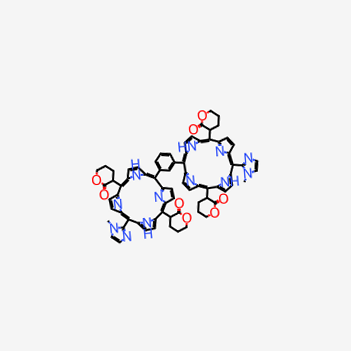 Cn1ccnc1-c1c2nc(c(C3CCCOC3=O)c3ccc([nH]3)c(-c3cccc(-c4c5nc(c(C6CCCOC6=O)c6ccc([nH]6)c(-c6nccn6C)c6nc(c(C7CCCOC7=O)c7ccc4[nH]7)C=C6)C=C5)c3)c3nc(c(C4CCCOC4=O)c4ccc1[nH]4)C=C3)C=C2